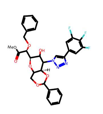 COC(=O)[C@@H](OCc1ccccc1)[C@@H]1OC2COC(c3ccccc3)O[C@@H]2C(n2cc(-c3cc(F)c(F)c(F)c3)nn2)C1O